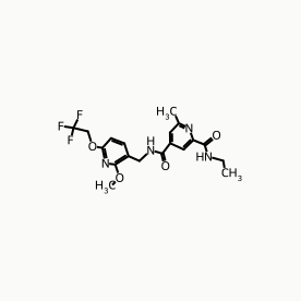 CCNC(=O)c1cc(C(=O)NCc2ccc(OCC(F)(F)F)nc2OC)cc(C)n1